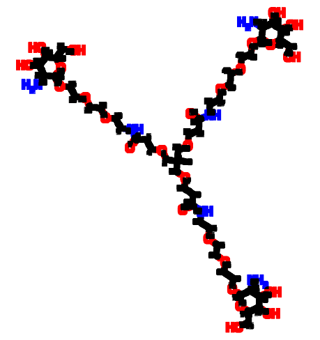 CC(COCCC(=O)NCCOCCOCCOC1OC(CO)C(O)C(O)C1N)(COCCC(=O)NCCOCCOCCOC1OC(CO)C(O)C(O)C1N)COCCC(=O)NCCOCCOCCOC1OC(CO)C(O)C(O)C1N